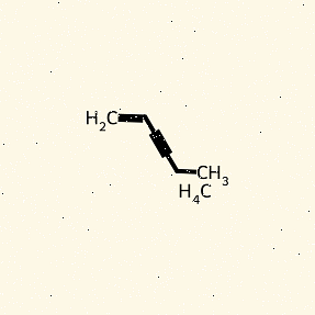 C.C=CC#CCC